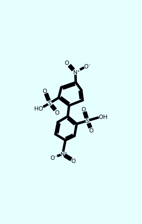 O=[N+]([O-])c1ccc(-c2ccc([N+](=O)[O-])cc2S(=O)(=O)O)c(S(=O)(=O)O)c1